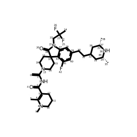 C=C(NC(=O)C1=C(C)N(C)CCC1)N1CCC2(CC1)C(=O)N(CC(C)(F)F)c1cc(CCC3C[C@@H](C)N[C@@H](C)C3)cc(F)c12